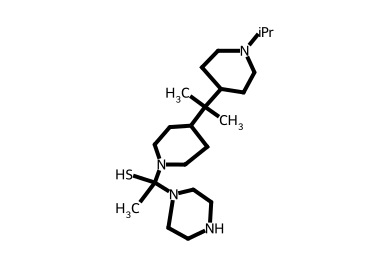 CC(C)N1CCC(C(C)(C)C2CCN(C(C)(S)N3CCNCC3)CC2)CC1